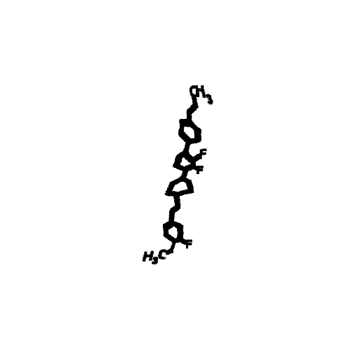 CCCc1ccc(-c2ccc(C3CCC(CCC4=CC[C@H](CC)C(F)=C4)CC3)c(F)c2F)cc1